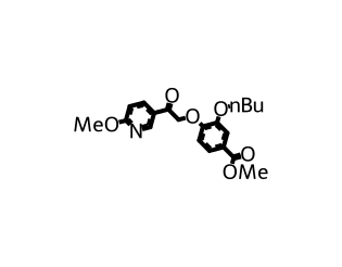 CCCCOc1cc(C(=O)OC)ccc1OCC(=O)c1ccc(OC)nc1